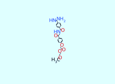 COCCOC(=O)COc1ccc(C(=O)CNC(=O)c2ccc(C(=N)N)cc2)cc1